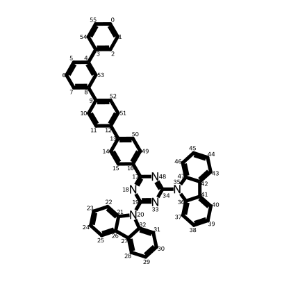 c1ccc(-c2cccc(-c3ccc(-c4ccc(-c5nc(-n6c7ccccc7c7ccccc76)nc(-n6c7ccccc7c7ccccc76)n5)cc4)cc3)c2)cc1